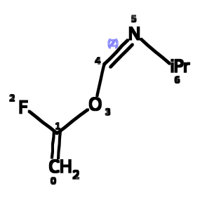 C=C(F)O/C=N\C(C)C